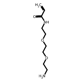 C=CC(=O)NCCOCCOCCN